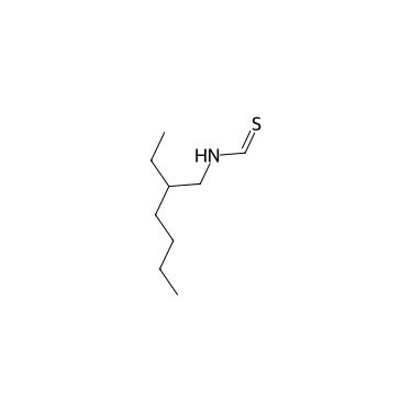 CCCCC(CC)CNC=S